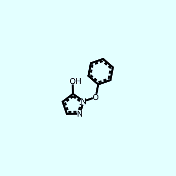 Oc1ccnn1Oc1ccccc1